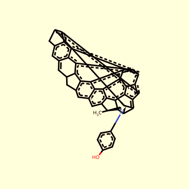 CC1N(c2ccc(O)cc2)CC2C3=c4c5c6c7c(cc8cc9c%10c%11c%12c%13c(cc%14c%15c(c4c4c5c5c7c8c%10c5c%12c4c%15%13)=C(C3)C%14)=CC%11C9)CC621